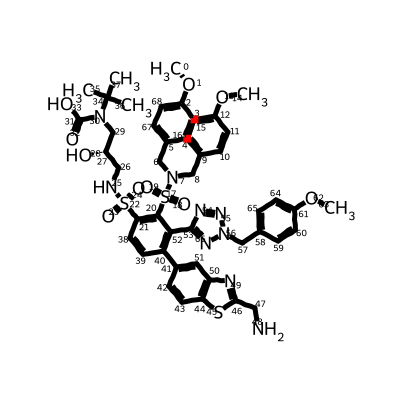 COc1ccc(CN(Cc2ccc(OC)cc2)S(=O)(=O)c2c(S(=O)(=O)NC[C@H](O)CN(C(=O)O)C(C)(C)C)ccc(-c3ccc4sc(CN)nc4c3)c2-c2nnn(Cc3ccc(OC)cc3)n2)cc1